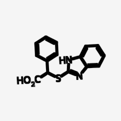 O=C(O)C(Sc1nc2ccccc2[nH]1)c1ccccc1